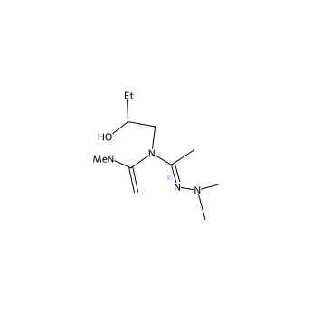 C=C(NC)N(CC(O)CC)/C(C)=N/N(C)C